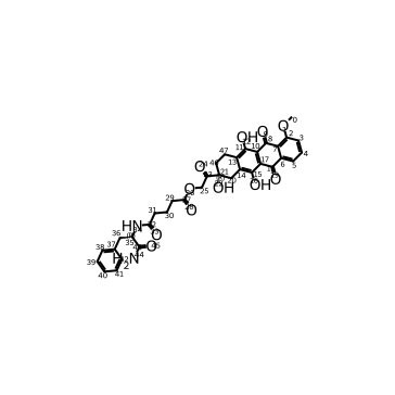 COc1cccc2c1C(=O)c1c(O)c3c(c(O)c1C2=O)C[C@@](O)(C(=O)COC(=O)CCCC(=O)N[C@H](Cc1ccccc1)C(N)=O)CC3